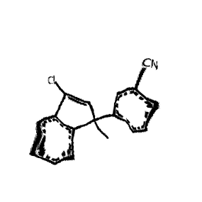 CC1(c2cccc(C#N)c2)C=C(Cl)c2ccccc21